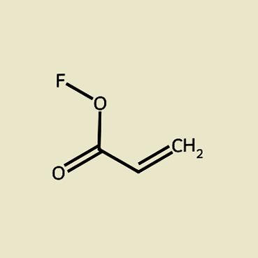 C=CC(=O)OF